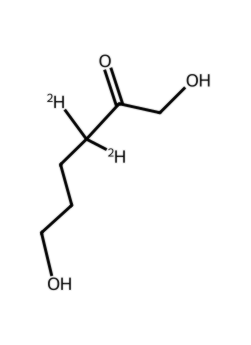 [2H]C([2H])(CCCO)C(=O)CO